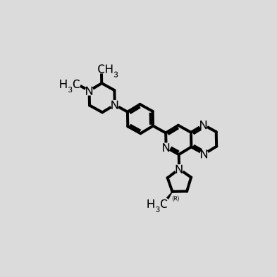 CC1CN(c2ccc(-c3cc4c(c(N5CC[C@@H](C)C5)n3)=NCCN=4)cc2)CCN1C